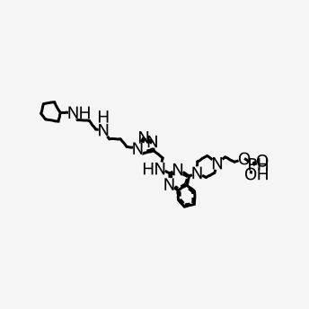 O=[PH](O)OCCN1CCN(c2nc(NCc3cn(CCCNCCCNC4CCCCC4)nn3)nc3ccccc23)CC1